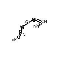 CCC[C@H]1CC[C@H](C(C#N)CC2CCC(c3ccc(CCCCC(=O)CCCCc4ccc(C5CCC(CC(C#N)[C@H]6CC[C@H](CCC)CC6)CC5)nn4)nn3)CC2)CC1